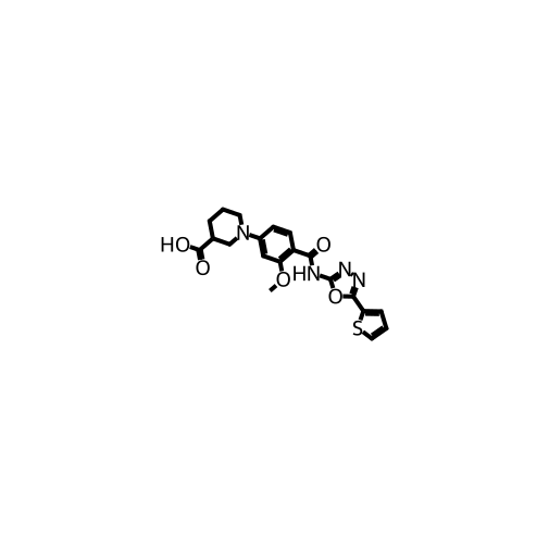 COc1cc(N2CCCC(C(=O)O)C2)ccc1C(=O)Nc1nnc(-c2cccs2)o1